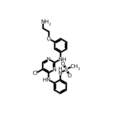 CS(=O)(=O)Nc1ccccc1Nc1nc(Nc2cccc(OCCN)c2)ncc1Cl